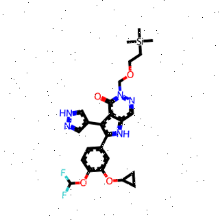 C[Si](C)(C)CCOCn1ncc2[nH]c(-c3ccc(OC(F)F)c(OC4CC4)c3)c(-c3cn[nH]c3)c2c1=O